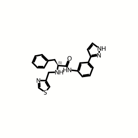 O=C(Nc1cccc(-c2cc[nH]n2)c1)[C@H](Cc1ccccc1)NCc1cscn1